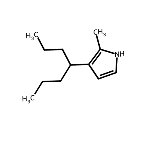 CCCC(CCC)c1cc[nH]c1C